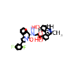 CN1CC[C@]23C4=C5CC=C(O)C4(C(=O)CCN[C@H](C(=O)N4CC(c6cc(F)ccc6F)=C[C@H]4c4ccccc4)C4CC4)O[C@H]2[C@@H](O)C=C[C@H]3[C@H]1C5